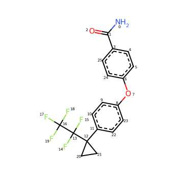 NC(=O)c1ccc(Oc2ccc(C3(C(F)(F)C(F)(F)F)CC3)cc2)cc1